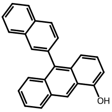 Oc1cccc2c(-c3ccc4ccccc4c3)c3ccccc3cc12